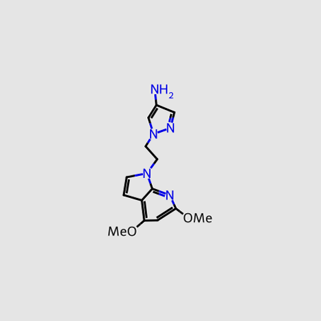 COc1cc(OC)c2ccn(CCn3cc(N)cn3)c2n1